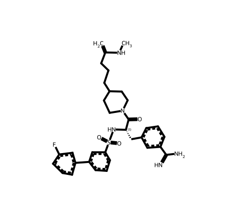 C=C(CCCC1CCN(C(=O)[C@H](Cc2cccc(C(=N)N)c2)NS(=O)(=O)c2cccc(-c3cccc(F)c3)c2)CC1)NC